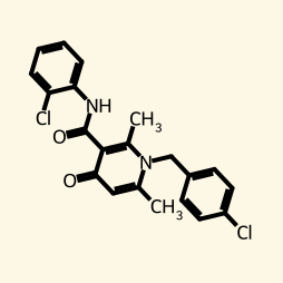 Cc1cc(=O)c(C(=O)Nc2ccccc2Cl)c(C)n1Cc1ccc(Cl)cc1